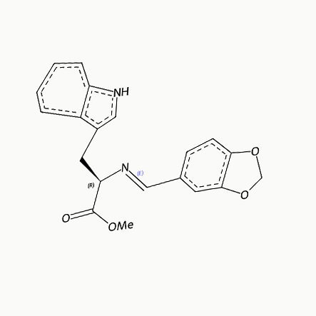 COC(=O)[C@@H](Cc1c[nH]c2ccccc12)/N=C/c1ccc2c(c1)OCO2